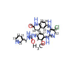 COc1cc(NC(=O)NCc2cccnc2)ccc1Nc1ncc(Cl)c(Nc2ccc3c(c2)CCC(=O)N3)n1